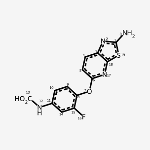 Nc1nc2ccc(Oc3ccc(NC(=O)O)cc3F)nc2s1